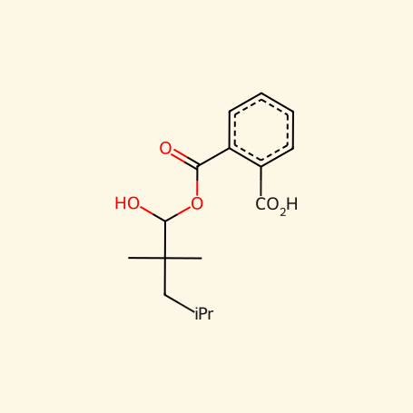 CC(C)CC(C)(C)C(O)OC(=O)c1ccccc1C(=O)O